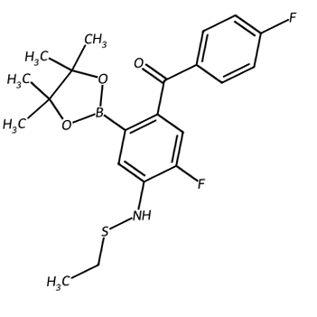 CCSNc1cc(B2OC(C)(C)C(C)(C)O2)c(C(=O)c2ccc(F)cc2)cc1F